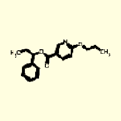 CCCOc1ccc(C(=O)OC(CC)c2ccccc2)cn1